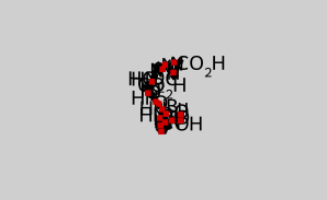 CC[C@H](C)[C@H](NC(=O)CCNC(=O)CN(CC(=O)O)C(=O)CCNC(=O)CN1CCC(CN2CCN(CC(=O)O)CCN(CC(=O)O)CC2)CC1)C(=O)N[C@H]1CCc2cccc3c2N(C1=O)[C@H](C(=O)NC1CC(=O)OC1O)C3